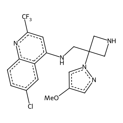 COc1cnn(C2(CNc3cc(C(F)(F)F)nc4ccc(Cl)cc34)CNC2)c1